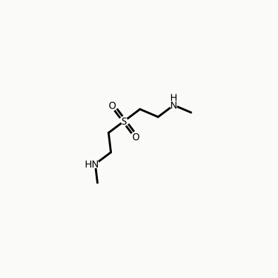 CNCCS(=O)(=O)CCNC